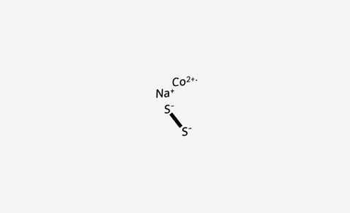 [Co+2].[Na+].[S-][S-]